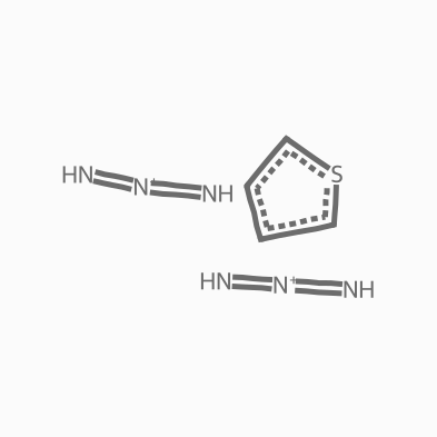 N=[N+]=N.N=[N+]=N.c1ccsc1